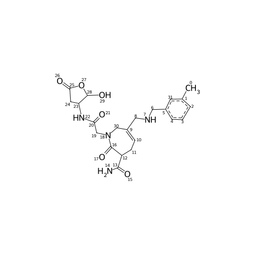 Cc1cccc(CNCC2=CCC(C(N)=O)C(=O)N(CC(=O)NC3CC(=O)OC3O)C2)c1